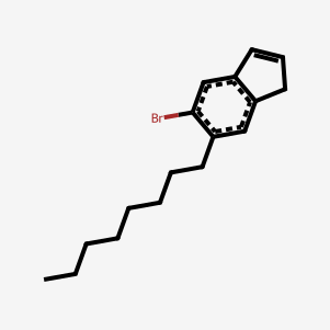 CCCCCCCCc1cc2c(cc1Br)C=CC2